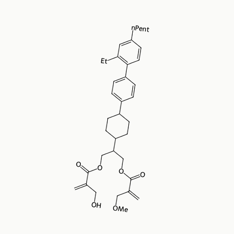 C=C(CO)C(=O)OCC(COC(=O)C(=C)COC)C1CCC(c2ccc(-c3ccc(CCCCC)cc3CC)cc2)CC1